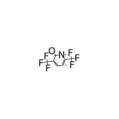 O=C1[N]C(C(F)(F)F)=[C]C=C1C(F)(F)F